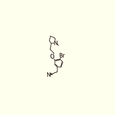 CN1CCCC1CCOc1cc(CC#N)ccc1Br